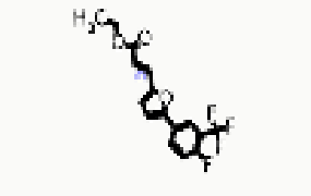 CCOC(=O)/C=C/c1ccc(-c2ccc(F)c(C(F)(F)F)c2)o1